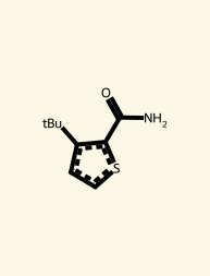 CC(C)(C)c1ccsc1C(N)=O